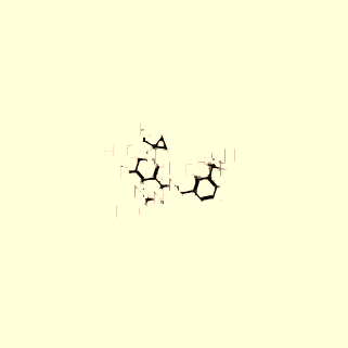 C=C1C(F)=c2nc(C)nc(NCc3cccc(C(C)(F)F)c3F)c2=CN1C1(CF)CC1